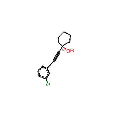 O[C@@]1(C#Cc2cccc(Cl)c2)C[CH]CCC1